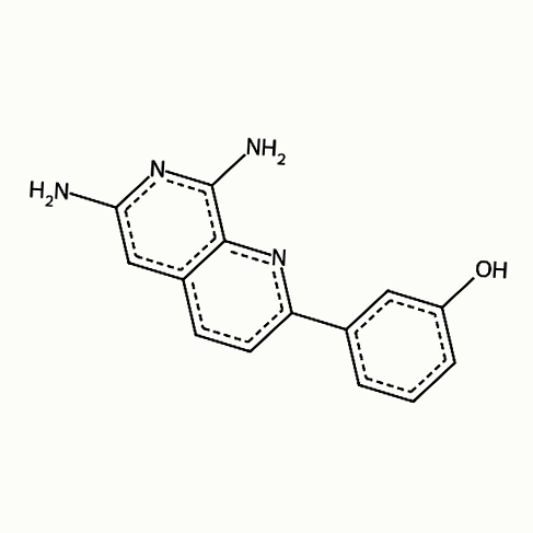 Nc1cc2ccc(-c3cccc(O)c3)nc2c(N)n1